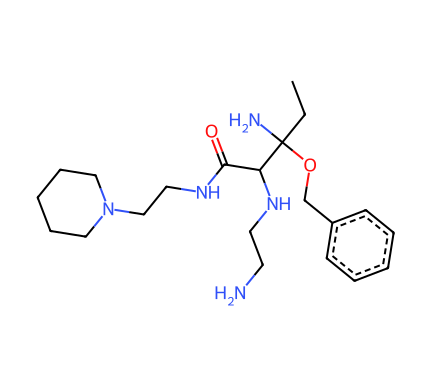 CCC(N)(OCc1ccccc1)C(NCCN)C(=O)NCCN1CCCCC1